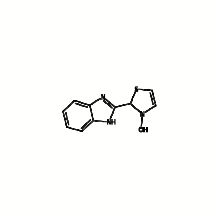 ON1C=CSC1c1nc2ccccc2[nH]1